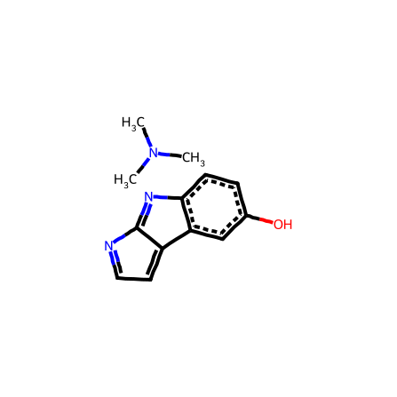 CN(C)C.Oc1ccc2c(c1)C1=CC=NC1=N2